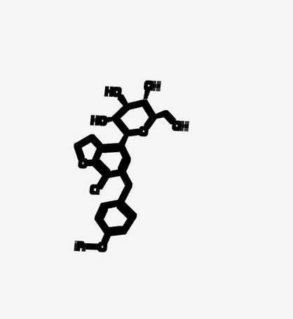 CC(C)Oc1ccc(Cc2cc([C@@H]3O[C@H](CO)[C@@H](O)[C@H](O)[C@H]3O)c3c(c2Cl)OCC3)cc1